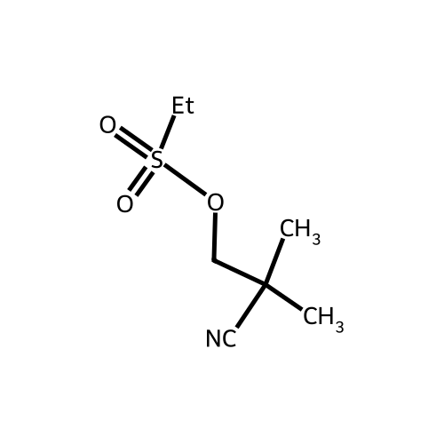 CCS(=O)(=O)OCC(C)(C)C#N